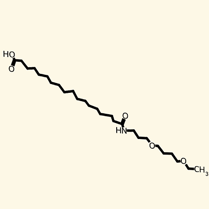 CCOCCCCOCCCNC(=O)CCCCCCCCCCCCCCCCC(=O)O